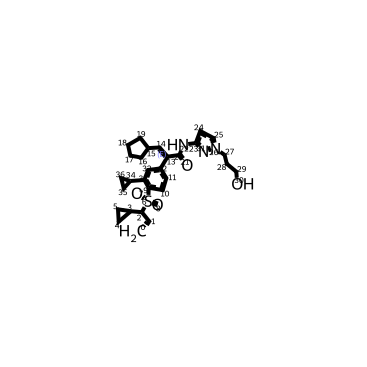 C=CC(C1CC1)S(=O)(=O)c1ccc(/C(=C\C2CCCC2)C(=O)Nc2ccn(CCCO)n2)cc1C1CC1